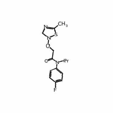 CC1=NCN(OCC(=O)N(c2ccc(F)cc2)C(C)C)S1